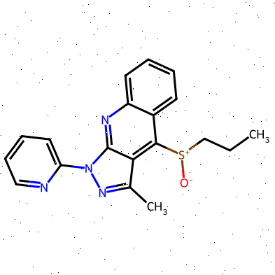 CCC[S+]([O-])c1c2ccccc2nc2c1c(C)nn2-c1ccccn1